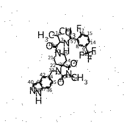 CC(C)C(NC(=O)c1cc(C(F)(F)F)ccc1F)C(=O)N1CCC2(CC1)C(=O)N(C)C(=O)N2Cc1ccc2[nH]ncc2c1